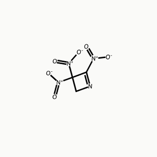 O=[N+]([O-])C1=NCC1([N+](=O)[O-])[N+](=O)[O-]